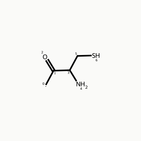 [CH2]C(=O)C(N)CS